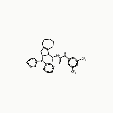 C[C@@H](NC(=O)Nc1cc(C(F)(F)F)cc(C(F)(F)F)c1)C1C2=C(CCCCC2)C[C@@H]1P(c1ccccc1)c1ccccc1